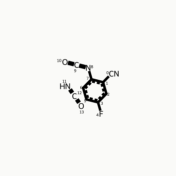 N#Cc1cc(F)ccc1N=C=O.N=C=O